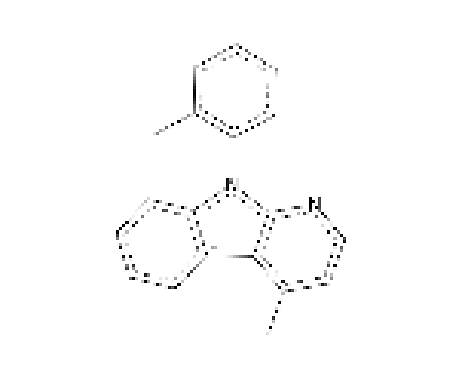 Cc1ccccc1-n1c2ccccc2c2c(C)ccnc21